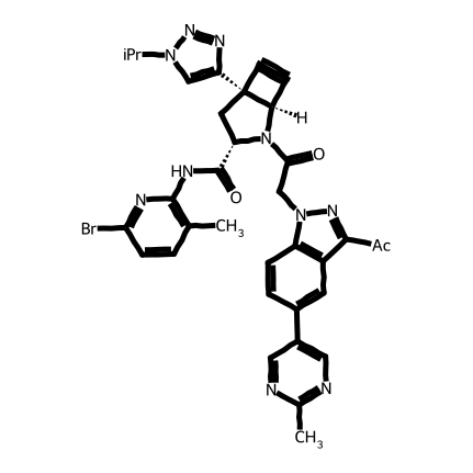 CC(=O)c1nn(CC(=O)N2[C@H](C(=O)Nc3nc(Br)ccc3C)C[C@@]3(c4cn(C(C)C)nn4)C#C[C@@H]23)c2ccc(-c3cnc(C)nc3)cc12